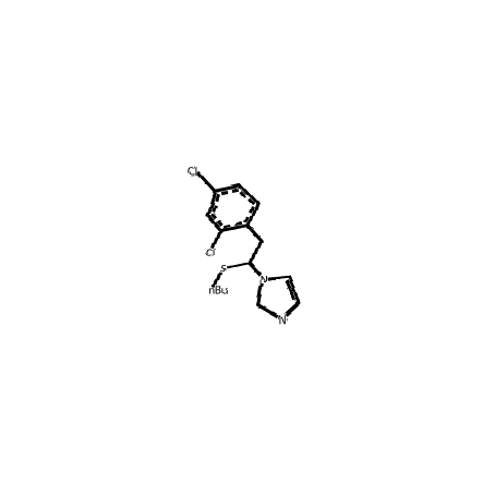 CCCCSC(Cc1ccc(Cl)cc1Cl)N1C=C[N]C1